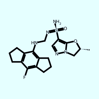 C[C@@H]1Cn2ncc([S@@](N)(=O)=NCNc3c4c(c(F)c5c3CCC5)CCC4)c2O1